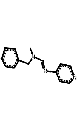 CN(C=Nc1[c]cncc1)Cc1ccccc1